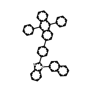 c1ccc(-c2c3ccccc3c(-c3ccccc3)c3cc(-c4ccc(-c5nc6ccccc6n5-c5ccc6ccccc6c5)cc4)ccc23)cc1